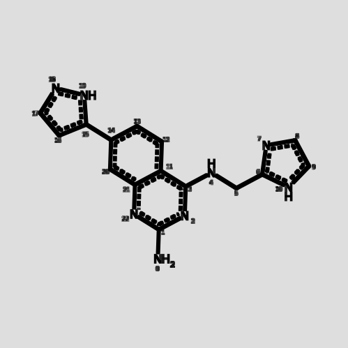 Nc1nc(NCc2ncc[nH]2)c2ccc(-c3ccn[nH]3)cc2n1